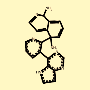 NC1N=CC=C2C1=CC=CC2(N)c1ncccc1-c1ncnc2cc[nH]c12